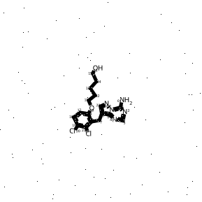 Nc1ncnc2c(Cc3c(OCCCCCO)ccc(Cl)c3Cl)cnn12